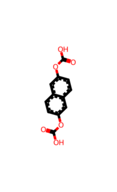 O=C(O)Oc1ccc2cc(OC(=O)O)ccc2c1